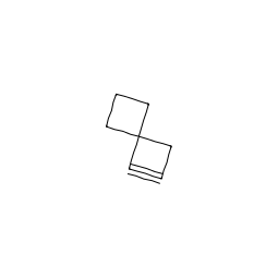 C1#CC2(C1)CCC2